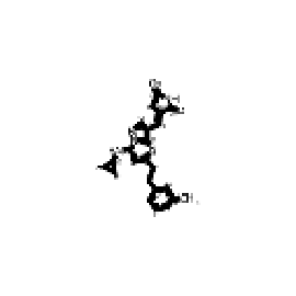 Cc1cccc(CCc2cc(NC3CC3)n3ncc(/C=C4\CC(=O)NC4=O)c3n2)c1